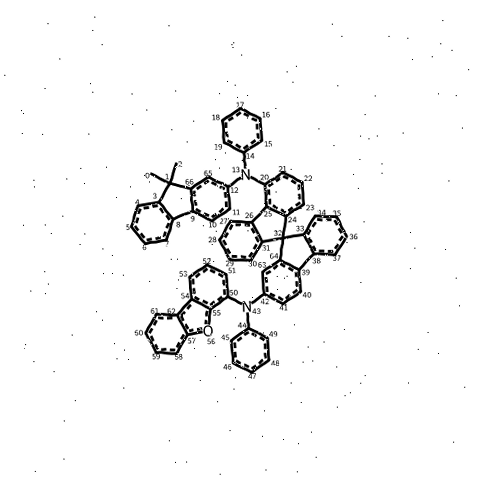 CC1(C)c2ccccc2-c2ccc(N(c3ccccc3)c3cccc4c3-c3ccccc3C43c4ccccc4-c4ccc(N(c5ccccc5)c5cccc6c5oc5ccccc56)cc43)cc21